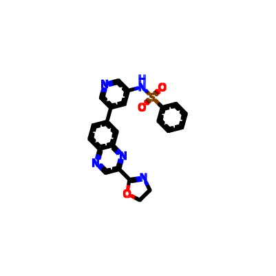 O=S(=O)(Nc1cncc(-c2ccc3ncc(C4=NCCO4)nc3c2)c1)c1ccccc1